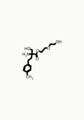 Cc1ccc(CCC(N)(CO)C(=O)OCCOCCO)cc1